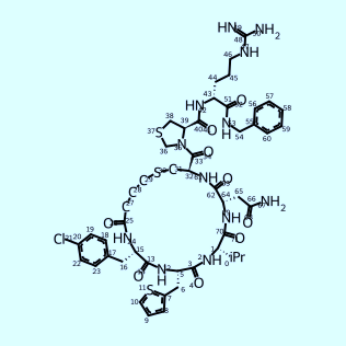 CC(C)[C@@H]1NC(=O)[C@H](Cc2cccs2)NC(=O)[C@H](Cc2ccc(Cl)cc2)NC(=O)CCCSC[C@@H](C(=O)N2CSC[C@H]2C(=O)N[C@H](CCCNC(=N)N)C(=O)NCc2ccccc2)NC(=O)[C@H](CC(N)=O)NC1=O